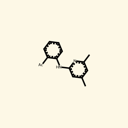 CC(=O)c1ccccc1Nc1cc(C)cc(C)n1